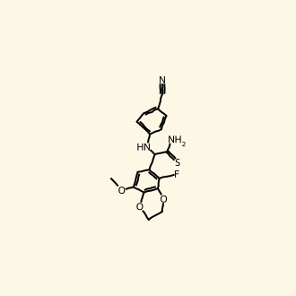 COc1cc(C(Nc2ccc(C#N)cc2)C(N)=S)c(F)c2c1OCCO2